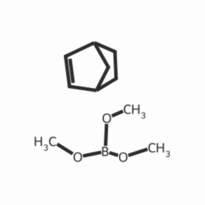 C1=CC2CCC1C2.COB(OC)OC